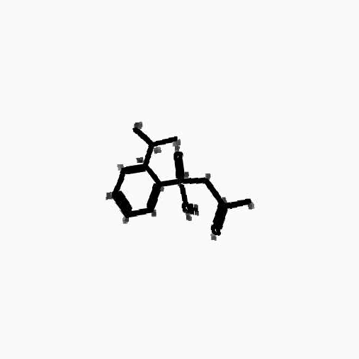 CC(=O)CP(=O)(O)c1ccccc1C(C)C